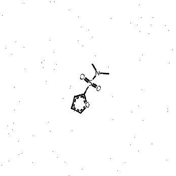 CN(C)S(=O)(=O)c1ccco1